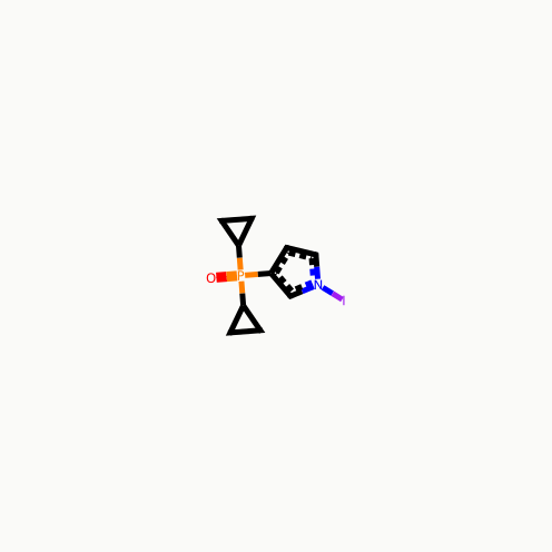 O=P(c1ccn(I)c1)(C1CC1)C1CC1